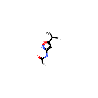 CC(=O)Nc1cc(C(C)C)on1